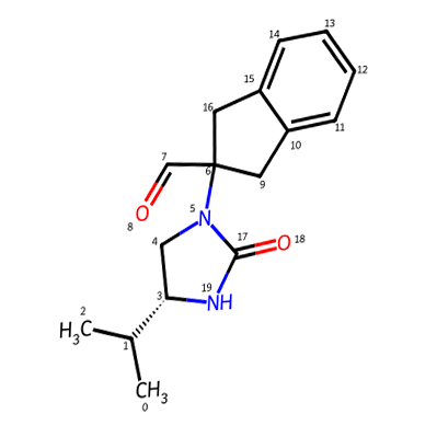 CC(C)[C@@H]1CN(C2(C=O)Cc3ccccc3C2)C(=O)N1